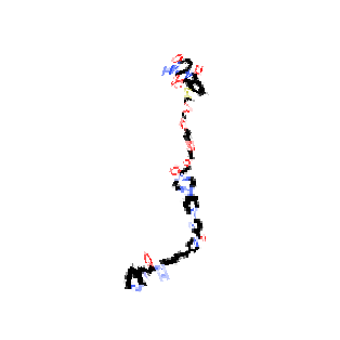 O=C(/C=C/c1cccnc1)NCCCCC1CCN(C(=O)c2ccc(N3CCC(N4CCN(C(=O)COCCOCCOCCOCCSc5cccc6c5C(=O)N(C5CCC(=O)NC5=O)C6=O)CC4)CC3)nc2)CC1